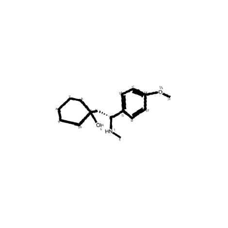 CN[C@H](CC1(O)CCCCC1)c1ccc(OC)cc1